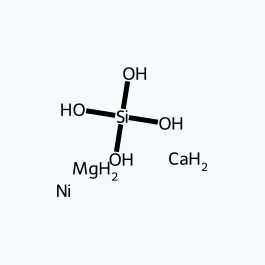 O[Si](O)(O)O.[CaH2].[MgH2].[Ni]